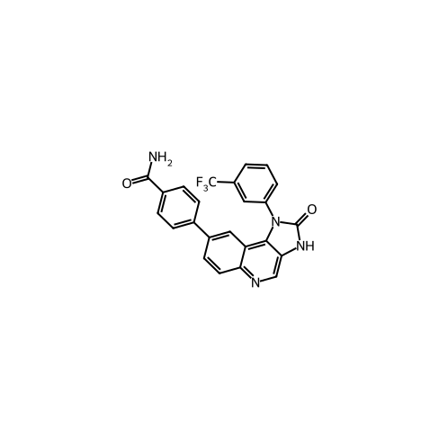 NC(=O)c1ccc(-c2ccc3ncc4[nH]c(=O)n(-c5cccc(C(F)(F)F)c5)c4c3c2)cc1